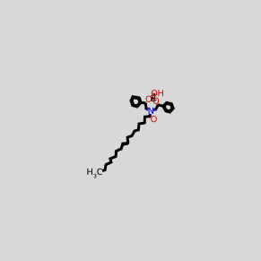 CCCCCCCCC=CCCCCCCCC(=O)N1CC(c2ccccc2)OB(O)OC(c2ccccc2)C1